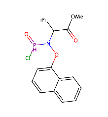 COC(=O)C(C(C)C)N(Oc1cccc2ccccc12)[PH](=O)Cl